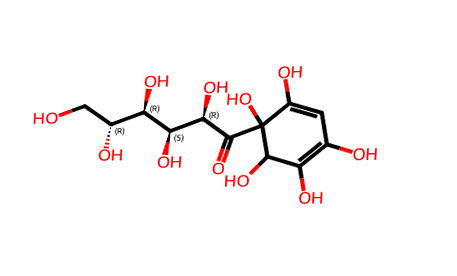 O=C([C@H](O)[C@@H](O)[C@H](O)[C@H](O)CO)C1(O)C(O)=CC(O)=C(O)C1O